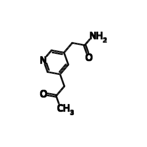 CC(=O)Cc1cncc(CC(N)=O)c1